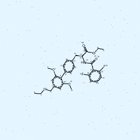 CCOCc1cc(OC)c(-c2ccc(C[C@H](NC(=O)c3c(F)cccc3F)C(=O)OCC)cc2)c(OC)c1